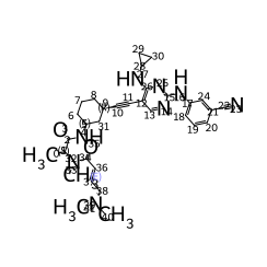 C[C@@H](C(=O)N[C@H]1CCC[C@@H](C#Cc2cnc(Nc3cccc(C#N)c3)nc2NC2CC2)C1)N(C)C(=O)/C=C/CN(C)C